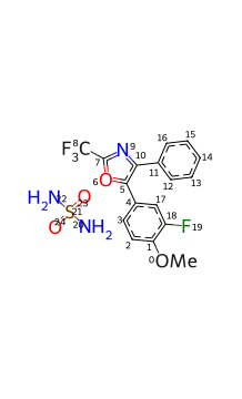 COc1ccc(-c2oc(C(F)(F)F)nc2-c2ccccc2)cc1F.NS(N)(=O)=O